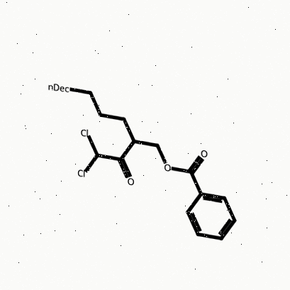 CCCCCCCCCCCCCC(COC(=O)c1ccccc1)C(=O)C(Cl)Cl